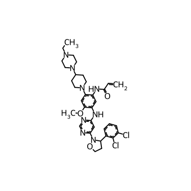 C=CC(=O)Nc1cc(Nc2cc(N3OCCC3c3cccc(Cl)c3Cl)ncn2)c(OC)cc1N1CCC(N2CCN(CC)CC2)CC1